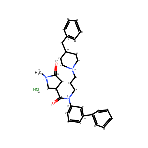 CN1CC(C(=O)N(CCCN2CCC(Cc3ccccc3)CC2)c2cccc(-c3ccccc3)c2)CC1=O.Cl